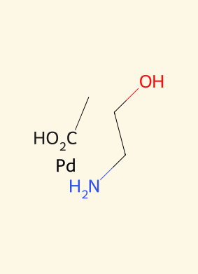 CC(=O)O.NCCO.[Pd]